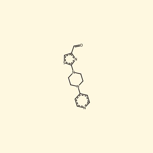 O=Cc1csc(N2CCN(c3ccncc3)CC2)n1